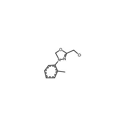 Cc1ccccc1N1COC(C[O])=N1